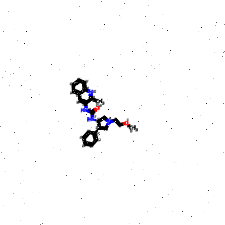 COCCN1C[C@@H](NC(=O)Nc2cc3ccccc3nc2C)[C@H](c2ccccc2)C1